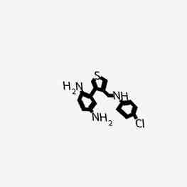 Nc1ccc(N)c(-c2cscc2CNc2ccc(Cl)cc2)c1